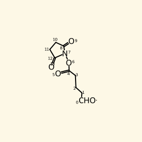 O=[C]CCCC(=O)ON1C(=O)CCC1=O